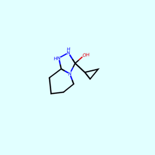 OC1(C2CC2)NNC2CCCCN21